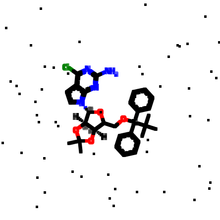 CC1(C)O[C@@H]2[C@H](O1)C(CO[Si](c1ccccc1)(c1ccccc1)C(C)(C)C)O[C@H]2n1ccc2c(Cl)nc(N)nc21